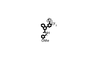 COc1cccc([C@@H](C)NC(C)c2cc(-c3ccc(C(F)(F)F)c(C(=O)OC(C)C)c3)c3ccccc3c2)c1